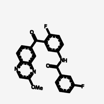 COc1cnc2ccc(C(=O)c3cc(NC(=O)c4cccc(F)c4)ccc3F)cc2n1